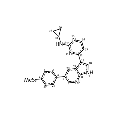 CSc1ccc(-c2cnc3[nH]cc(-c4ccnc(NC5CC5)n4)c3c2)cc1